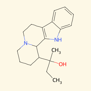 CCC(C)(O)C1CCCN2CCc3c([nH]c4ccccc34)C12